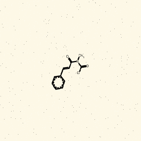 CN(C(=O)Cl)C(=O)/C=C/c1ccccc1